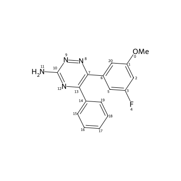 COc1cc(F)cc(-c2nnc(N)nc2-c2ccccc2)c1